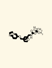 CC(C)(C)OC(=O)NCC12CC(COc3ccc4nccn4c3)(CCO1)C2